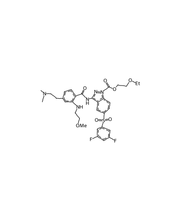 CCOCCOC(=O)n1nc(NC(=O)c2ccc(CCN(C)C)cc2NCCOC)c2cc(S(=O)(=O)c3cc(F)cc(F)c3)ccc21